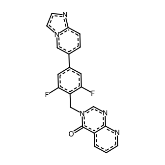 O=c1c2cccnc2ncn1Cc1c(F)cc(-c2ccc3nccn3c2)cc1F